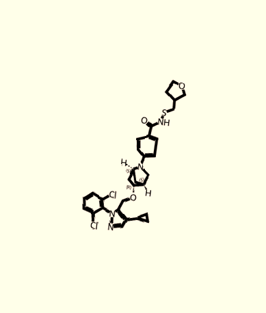 O=C(NSCC1CCOC1)c1ccc(N2C[C@@H]3C[C@H]2C[C@H]3OCc2c(C3CC3)cnn2-c2c(Cl)cccc2Cl)cc1